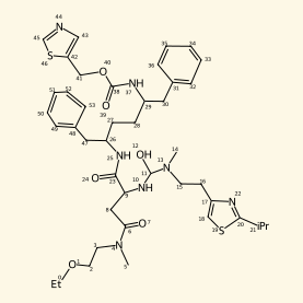 CCOCCN(C)C(=O)CC(NC(O)N(C)CCc1csc(C(C)C)n1)C(=O)NC(CCC(Cc1ccccc1)NC(=O)OCc1cncs1)Cc1ccccc1